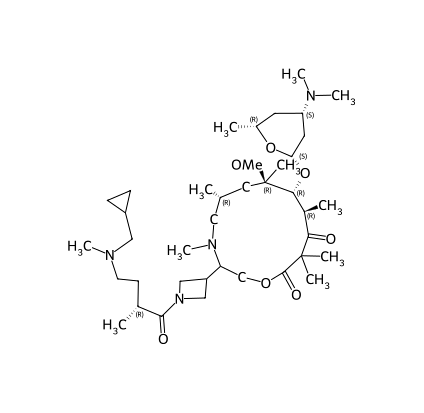 CO[C@]1(C)C[C@@H](C)CN(C)C(C2CN(C(=O)[C@H](C)CCN(C)CC3CC3)C2)COC(=O)C(C)(C)C(=O)[C@H](C)[C@H]1O[C@H]1C[C@@H](N(C)C)C[C@@H](C)O1